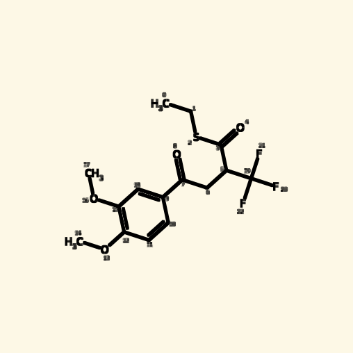 CCSC(=O)C(CC(=O)c1ccc(OC)c(OC)c1)C(F)(F)F